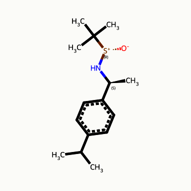 CC(C)c1ccc([C@H](C)N[S@@+]([O-])C(C)(C)C)cc1